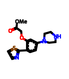 COC(=O)COc1cc(N2CCNCC2)ccc1-c1nccs1